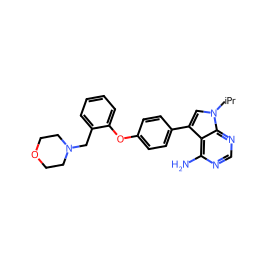 CC(C)n1cc(-c2ccc(Oc3ccccc3CN3CCOCC3)cc2)c2c(N)ncnc21